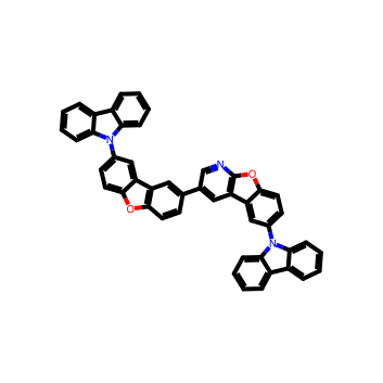 c1ccc2c(c1)c1ccccc1n2-c1ccc2oc3ccc(-c4cnc5oc6ccc(-n7c8ccccc8c8ccccc87)cc6c5c4)cc3c2c1